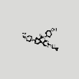 O=c1c2cc(N3CCN(CC(F)(F)F)CC3)ccc2c2cnc(NCC3CC3)nc2n1C1CCC(O)CC1